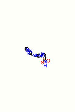 O=C1NC(=O)C(=Cc2ccnc(N3CCC(CNCc4cnc(N5CCCCC5)nc4)CC3)n2)S1